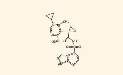 COc1ccc(C2CC2)c(C)c1C1(C(=O)NS(=O)(=O)c2cccc3[nH]ncc23)CC1